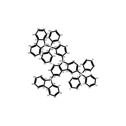 c1ccc(S(c2ccccc2)(c2ccccc2)c2ccc3c(c2)c2cc(-n4c5ccccc5c5ccccc54)ccc2n3-c2cccc(S(c3ccccc3)(c3ccccc3)n3c4ccccc4c4ccccc43)c2)cc1